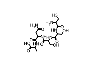 CC(NC(=O)C(CC(N)=O)NC(=O)C(CO)NC(=O)C(CO)NC(=O)C(N)CS)C(=O)O